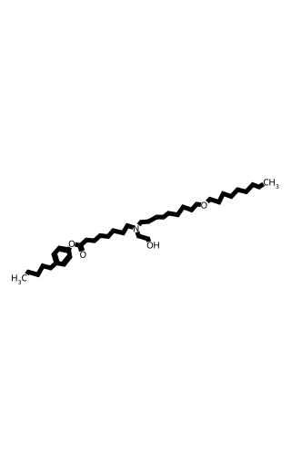 CCCCCCCCCOCCCCCCCCCN(CCO)CCCCCCCC(=O)Oc1ccc(CCCCC)cc1